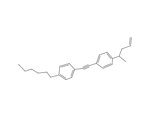 C=CCC(C)c1ccc(C#Cc2ccc(CCCCCC)cc2)cc1